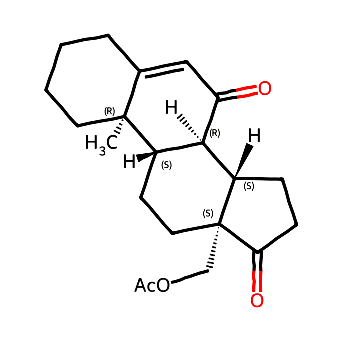 CC(=O)OC[C@]12CC[C@H]3[C@@H](C(=O)C=C4CCCC[C@@]43C)[C@@H]1CCC2=O